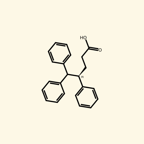 O=C(O)CC[C@@H](c1ccccc1)C(c1ccccc1)c1ccccc1